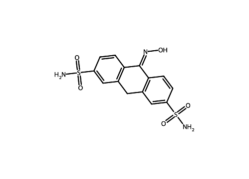 NS(=O)(=O)c1ccc2c(c1)Cc1cc(S(N)(=O)=O)ccc1C2=NO